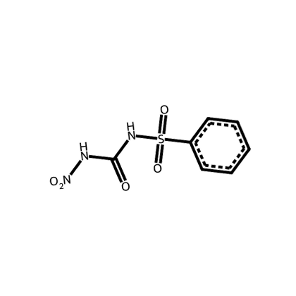 O=C(N[N+](=O)[O-])NS(=O)(=O)c1ccccc1